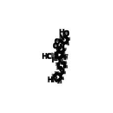 Cl.O=C1CCC(N2Cc3c(cc(F)c(N4CCN(CC5CCNCC5)CC4)c3F)C2=O)C(=O)N1